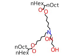 CCCCCCCCC(CCCCCC)C(=O)OCCCCCCN(CCCCCO)CC(O)CCCCOC(=O)C(CCCCCC)CCCCCCCC